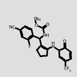 CC(C)(C)OC(=O)NC(C1=C(NC2C=C(C(F)(F)F)C=CC2=O)CCC1)c1ccc(C#N)cc1F